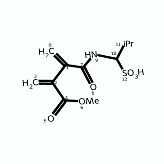 C=C(C(=C)C(=O)OC)C(=O)NC(C(C)C)S(=O)(=O)O